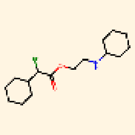 O=C(OCCNC1CCCCC1)C(Br)C1CCCCC1